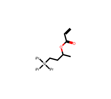 C=CC(=O)OC(C)CC[Si](C(C)C)(C(C)C)C(C)C